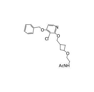 CC(=O)NCCOC1CC(COc2nccc(OCc3ccccc3)c2Cl)C1